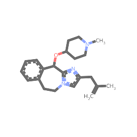 C=C(C)Cc1cn2c(n1)C(OC1CCN(C)CC1)c1ccccc1CC2